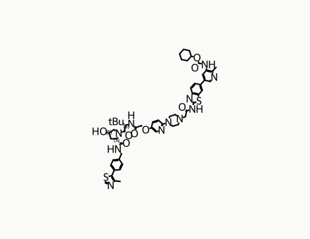 Cc1ncc(-c2ccc3nc(NC(=O)CN4CCN(c5ccc(OCC(=O)N[C@H](C(=O)N6C[C@H](O)C[C@H]6C(=O)NCc6ccc(-c7scnc7C)cc6)C(C)(C)C)cn5)CC4)sc3c2)cc1NC(=O)OC1CCCCC1